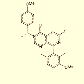 COc1ccc([C@@H](C)n2cnc3c(-c4c(C)ccc(OC)c4C)nc(F)cc3c2=O)cc1